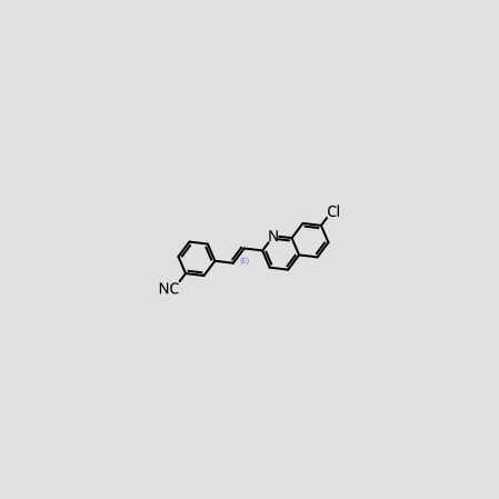 N#Cc1cccc(/C=C/c2ccc3ccc(Cl)cc3n2)c1